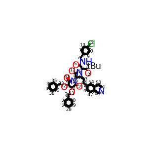 CC(C)(C)C(=O)C(C(=O)NCc1ccc(Cl)cc1)N1C(=O)[C@@H](N2C(=O)C(OCc3ccccc3)C(OCc3ccccc3)C2=O)C1CCc1ccc2cnccc2c1